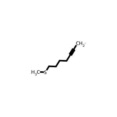 [CH2]C#CCCCCSC